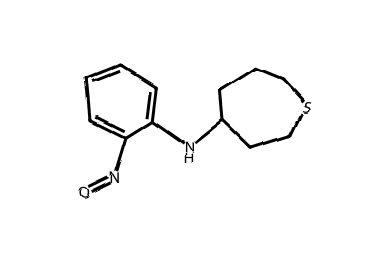 O=Nc1ccccc1NC1CCCSCC1